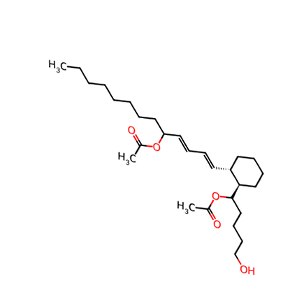 CCCCCCCCC(/C=C/C=C/[C@@H]1CCCC[C@H]1C(CCCCO)OC(C)=O)OC(C)=O